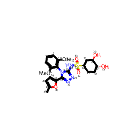 COc1cccc(OC)c1-n1c(NS(=O)(=O)[C@@H]2CC[C@@H](O)[C@H](O)C2)nnc1-c1ccc(C)o1